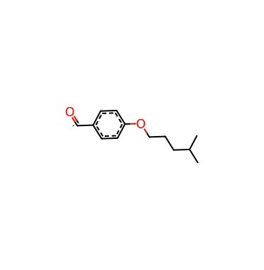 CC(C)CCCOc1ccc([C]=O)cc1